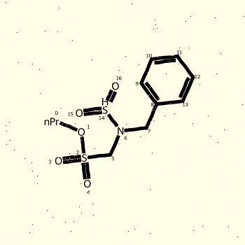 CCCOS(=O)(=O)CN(Cc1ccccc1)[SH](=O)=O